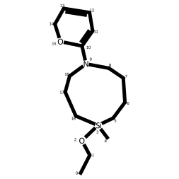 CCO[Si]1(C)CCCCN(C2=CC=CCO2)CCC1